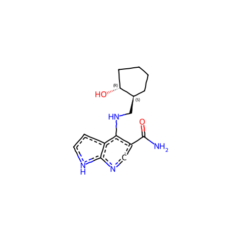 NC(=O)c1cnc2[nH]ccc2c1NC[C@@H]1CCCC[C@H]1O